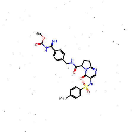 COc1ccc(S(=O)(=O)Nc2cnc3n(c2=O)C(C(=O)NCc2ccc(C(=N)NC(=O)OC(C)(C)C)cc2)CC3)cc1